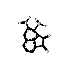 O=C1C(=O)c2c([N+](=O)[O-])c([N+](=O)[O-])cc3cccc1c23